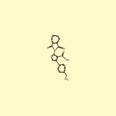 CCc1ccc(-c2csc(N3C(=O)c4ccccc4C3=O)c2C(=O)O)cc1